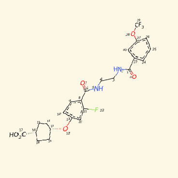 O=C(NCCNC(=O)c1ccc(O[C@H]2CC[C@@H](C(=O)O)CC2)cc1F)c1cccc(OC(F)(F)F)c1